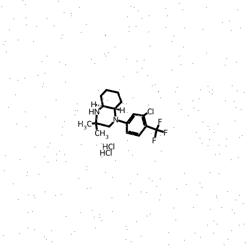 CC1(C)CN(c2ccc(C(F)(F)F)c(Cl)c2)[C@H]2CCCC[C@@H]2N1.Cl.Cl